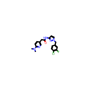 CN(C)c1ccc(CC(=O)Nc2ccn(Cc3ccc(Cl)c(F)c3)n2)cn1